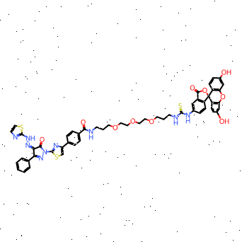 O=C(NCCCOCCOCCOCCCNC(=S)Nc1ccc2c(c1)C(=O)OC21c2ccc(O)cc2Oc2cc(O)ccc21)c1ccc(-c2csc(N3N=C(c4ccccc4)/C(=N/Nc4nccs4)C3=O)n2)cc1